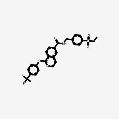 CCS(=O)(=O)c1ccc(CNC(=O)c2ccc3c(Oc4ccc(C(F)(F)F)cc4)nccc3c2)cc1